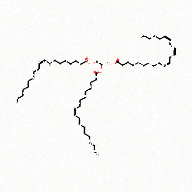 CCCCC/C=C\C/C=C\C/C=C\CCCCCCCCC(=O)OC[C@@H](COC(=O)CCCCCCC/C=C\CCCCCCCCC)OC(=O)CCCCCCC/C=C\CCCCCCCCC